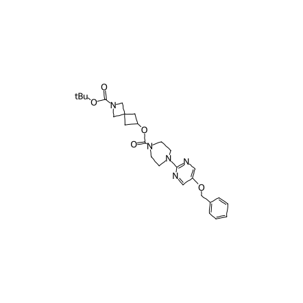 CC(C)(C)OC(=O)N1CC2(CC(OC(=O)N3CCN(c4ncc(OCc5ccccc5)cn4)CC3)C2)C1